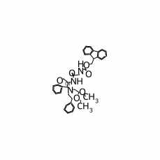 CCOC(CN(CCc1ccccc1)C(c1ccccc1)[C@@H](C=O)NC(=O)CNC(=O)OCC1c2ccccc2-c2ccccc21)OC